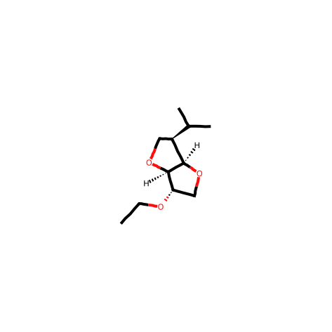 CCO[C@H]1CO[C@H]2[C@@H]1OC[C@H]2C(C)C